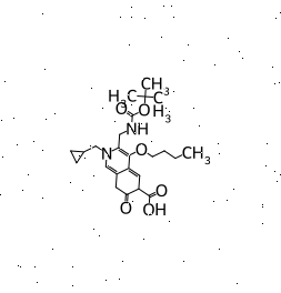 CCCCOC1=C(CNC(=O)OC(C)(C)C)N(CC2CC2)C=C2CC(=O)C(C(=O)O)C=C21